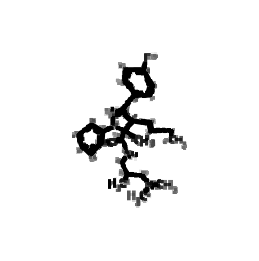 CCCCC1C(c2ccc(F)cc2)=NN(c2ccccc2)C1(C)C(=O)NCC(C)CN(C)C